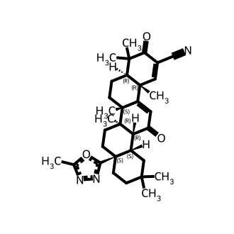 Cc1nnc([C@]23CCC(C)(C)C[C@H]2[C@H]2C(=O)C=C4[C@@]5(C)C=C(C#N)C(=O)C(C)(C)[C@@H]5CC[C@@]4(C)[C@]2(C)CC3)o1